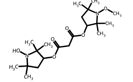 CON1C(C)(C)CC(OC(=O)CC(=O)OC2CC(C)(C)N(O)C2(C)C)C1(C)C